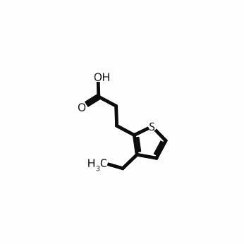 CCc1ccsc1CCC(=O)O